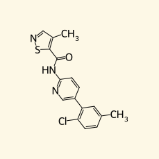 Cc1ccc(Cl)c(-c2ccc(NC(=O)c3sncc3C)nc2)c1